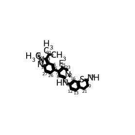 CC(C)c1c2cc(-c3cc(Nc4ccc5c(c4)SC(=N)CC5)ncc3F)ccc2nn1C